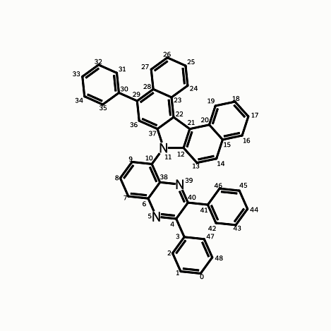 c1ccc(-c2nc3cccc(-n4c5ccc6ccccc6c5c5c6ccccc6c(-c6ccccc6)cc54)c3nc2-c2ccccc2)cc1